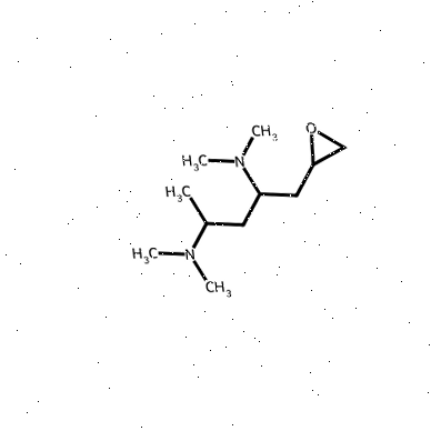 CC(CC(CC1CO1)N(C)C)N(C)C